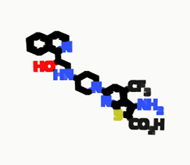 Nc1c(C(=O)O)sc2nc(N3CCC(NCC(O)c4nccc5ccccc45)CC3)cc(C(F)(F)F)c12